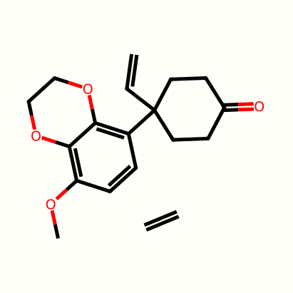 C=C.C=CC1(c2ccc(OC)c3c2OCCO3)CCC(=O)CC1